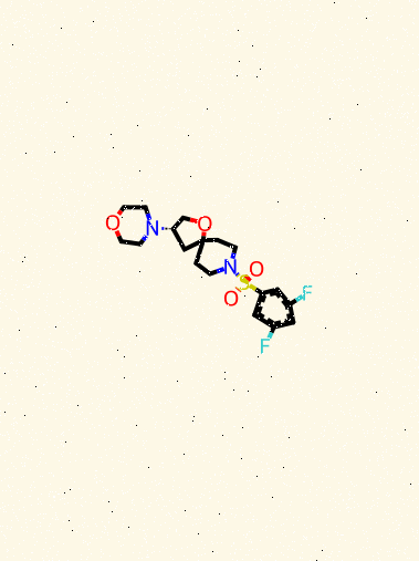 O=S(=O)(c1cc(F)cc(F)c1)N1CCC2(CC1)C[C@H](N1CCOCC1)CO2